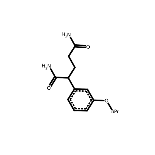 CCCOc1cccc(C(CCC(N)=O)C(N)=O)c1